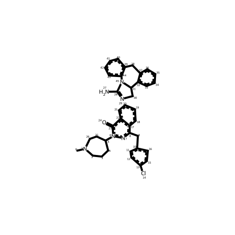 CN1CCCC(n2nc(Cc3ccc(Cl)cc3)c3ccccc3c2=O)CC1.NC1=NCC2c3ccccc3Cc3ccccc3N12